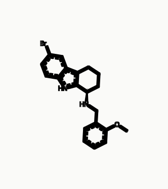 COc1ccccc1CN[C@@H]1CCCc2c1[nH]c1ccc(Br)cc21